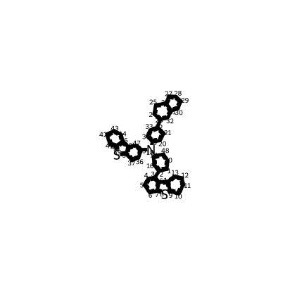 c1cc(-c2cccc3sc4ccccc4c23)cc(N(c2ccc(-c3ccc4ccccc4c3)cc2)c2ccc3sc4ccccc4c3c2)c1